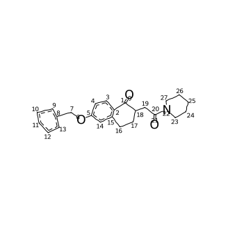 O=C1c2ccc(OCc3ccccc3)cc2CCC1CC(=O)N1CCCCC1